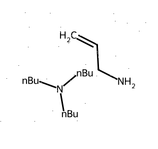 C=CCN.CCCCN(CCCC)CCCC